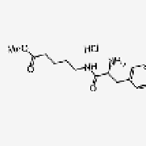 COC(=O)CCCCNC(=O)[C@@H](N)Cc1ccccc1.Cl